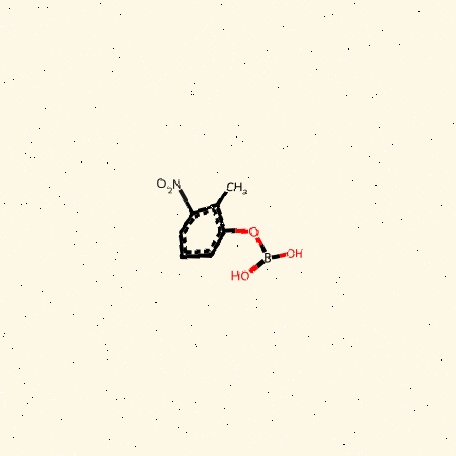 Cc1c(OB(O)O)cccc1[N+](=O)[O-]